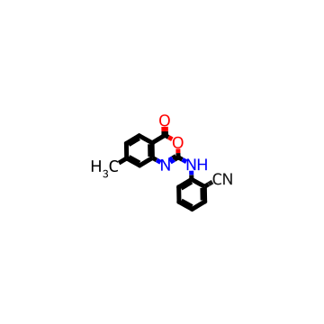 Cc1ccc2c(=O)oc(Nc3ccccc3C#N)nc2c1